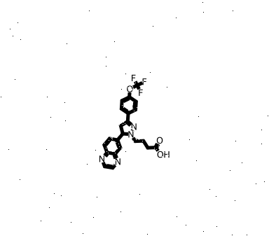 O=C(O)CCCN1N=C(c2ccc(OC(F)(F)F)cc2)CC1c1ccc2nccnc2c1